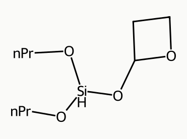 CCCO[SiH](OCCC)OC1CCO1